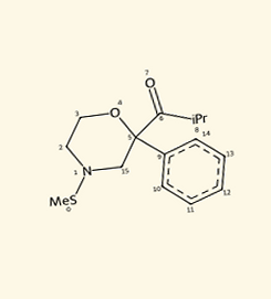 CSN1CCOC(C(=O)C(C)C)(c2ccccc2)C1